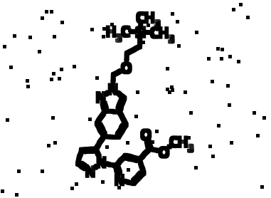 COC(=O)c1ccnc(-n2nccc2-c2ccc3cn(COCC[Si](C)(C)C)nc3c2)c1